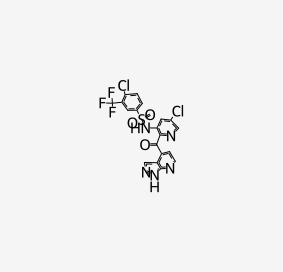 O=C(c1ncc(Cl)cc1NS(=O)(=O)c1ccc(Cl)c(C(F)(F)F)c1)c1ccnc2[nH]ncc12